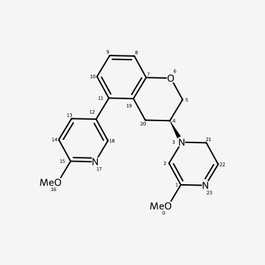 COC1=CN([C@@H]2COc3cccc(-c4ccc(OC)nc4)c3C2)CC=N1